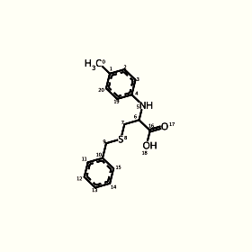 Cc1ccc(NC(CSCc2ccccc2)C(=O)O)cc1